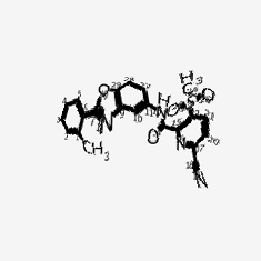 Cc1ccccc1-c1nc2cc(NC(=O)c3nc(C#N)ccc3S(C)(=O)=O)ccc2o1